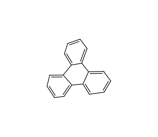 [c]1ccc2c3[c]cccc3c3ccccc3c2c1